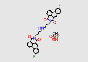 CS(=O)(=O)O.O=C1c2cccc3c2c(cc2ccc(F)cc23)C(=O)N1CCCCNCCCN1C(=O)c2cccc3c2c(cc2ccc(F)cc23)C1=O